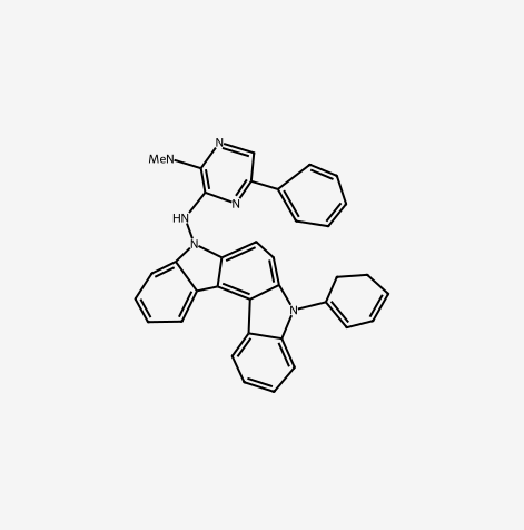 CNc1ncc(-c2ccccc2)nc1Nn1c2ccccc2c2c3c4ccccc4n(C4=CC=CCC4)c3ccc21